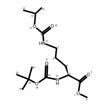 COC(=O)[C@H](CCCNC(=O)OC(C)C)NC(=O)OC(C)(C)C